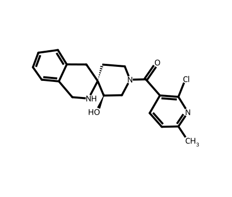 Cc1ccc(C(=O)N2CC[C@]3(Cc4ccccc4CN3)[C@H](O)C2)c(Cl)n1